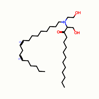 CCCCC/C=C\C/C=C\CCCCCCCCN(CCO)C(CO)C(=O)CCCCCCCCCCC